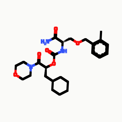 Cc1ccccc1COC[C@H](NC(=O)O[C@@H](CC1CCCCC1)C(=O)N1CCOCC1)C(N)=O